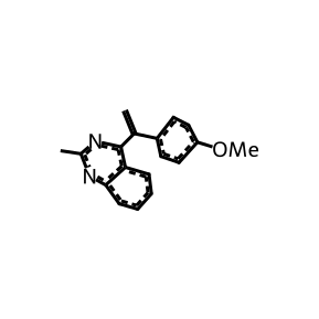 C=C(c1ccc(OC)cc1)c1nc(C)nc2ccccc12